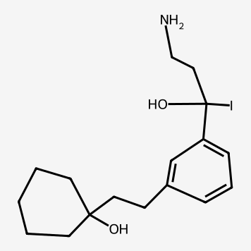 NCCC(O)(I)c1cccc(CCC2(O)CCCCC2)c1